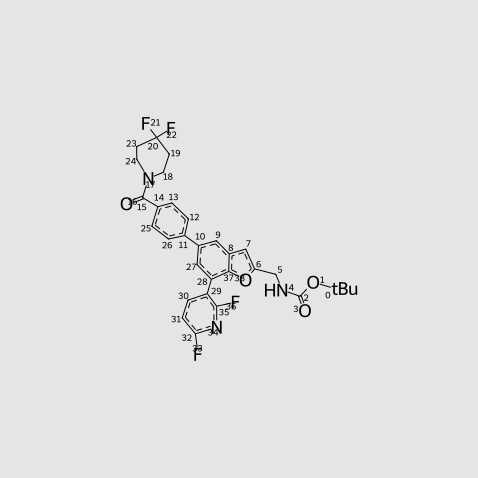 CC(C)(C)OC(=O)NCc1cc2cc(-c3ccc(C(=O)N4CCC(F)(F)CC4)cc3)cc(-c3ccc(F)nc3F)c2o1